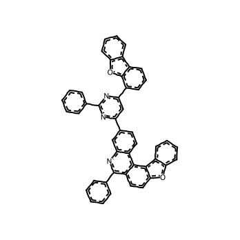 c1ccc(-c2nc(-c3ccc4c(c3)nc(-c3ccccc3)c3ccc5oc6ccccc6c5c34)cc(-c3cccc4c3oc3ccccc34)n2)cc1